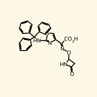 O=C1CC(ON=C(C(=O)O)c2csc(NC(c3ccccc3)(c3ccccc3)c3ccccc3)n2)N1